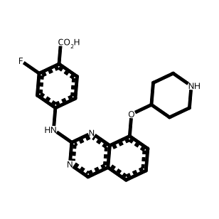 O=C(O)c1ccc(Nc2ncc3cccc(OC4CCNCC4)c3n2)cc1F